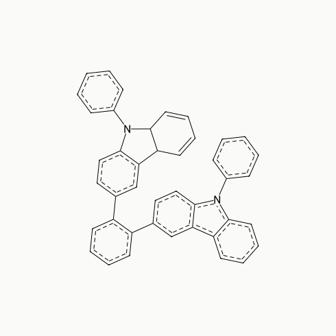 C1=CC2c3cc(-c4ccccc4-c4ccc5c(c4)c4ccccc4n5-c4ccccc4)ccc3N(c3ccccc3)C2C=C1